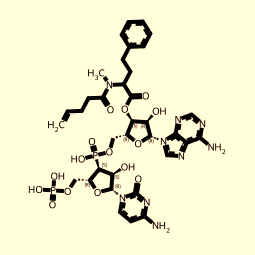 C=CCCC(=O)N(C)C(CCc1ccccc1)C(=O)O[C@H]1[C@@H](O)[C@H](n2cnc3c(N)ncnc32)O[C@@H]1COP(=O)(O)[C@H]1[C@@H](O)[C@H](n2ccc(N)nc2=O)O[C@@H]1COP(=O)(O)O